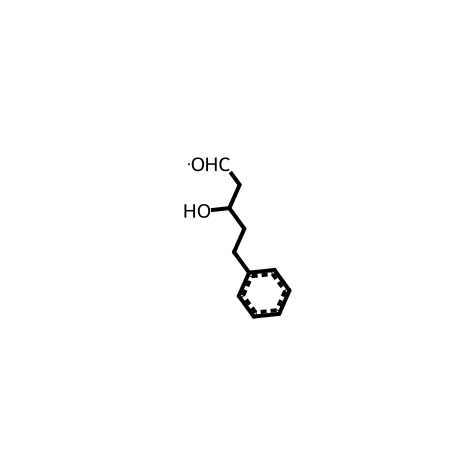 O=[C]CC(O)CCc1ccccc1